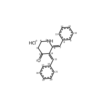 Cl.O=C1CCNC(=Cc2ccccc2)C1=Cc1ccccc1